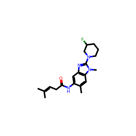 CC(C)=CCC(=O)Nc1cc2nc(N3CCCC(F)C3)n(C)c2cc1C